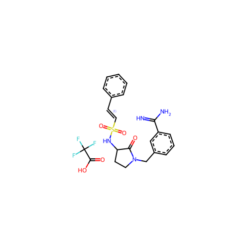 N=C(N)c1cccc(CN2CCC(NS(=O)(=O)/C=C/c3ccccc3)C2=O)c1.O=C(O)C(F)(F)F